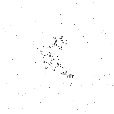 CC(C)NCC1=COC(C)(CC(C)NCc2ccco2)C1